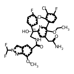 CCOc1c(CC(N)=O)cc([C@@](O)(CNC(=O)c2cc(OC)c3nn(C(F)F)cc3c2)c2ccc(F)cc2)nc1-c1ccc(F)c(Cl)c1Cl